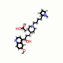 COc1ccc2nccc(C(O)CC[C@@H]3CCN(CCCCc4cccn4C)C[C@@H]3CC(=O)O)c2c1